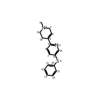 CN1CC=C(c2ccc(Sc3ccccc3)cn2)CC1